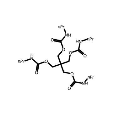 CCCNC(=O)OCC(COC(=O)NCCC)(COC(=O)NCCC)COC(=O)NCCC